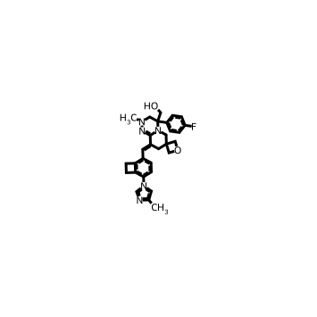 Cc1cn(-c2ccc(/C=C3\CC4(COC4)CN4C3=NN(C)CC4(CO)c3ccc(F)cc3)c3c2CC3)cn1